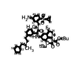 CN(CCc1cccc(C(Nc2ccc3c(N(C(=O)OC(C)(C)C)C(=O)OC(C)(C)C)ncc(F)c3c2)C(=O)N(C)Cc2cc(N)ccc2S(=O)(=O)C2CC2)c1)Cc1ccccc1